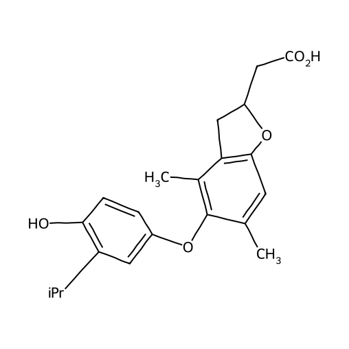 Cc1cc2c(c(C)c1Oc1ccc(O)c(C(C)C)c1)CC(CC(=O)O)O2